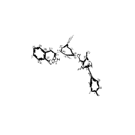 Cc1ccc(-c2nc(CO[C@H]3CCC[C@@H](C(=O)Cc4ccccc4C(=O)O)C3)c(C)o2)cc1